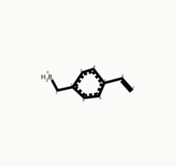 BCc1ccc(C=C)cc1